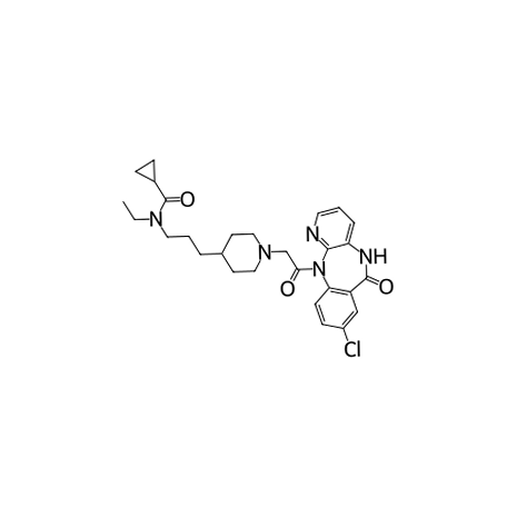 CCN(CCCC1CCN(CC(=O)N2c3ccc(Cl)cc3C(=O)Nc3cccnc32)CC1)C(=O)C1CC1